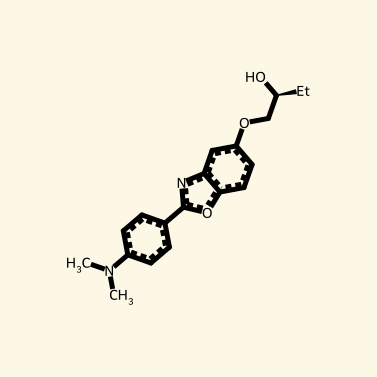 CC[C@H](O)COc1ccc2oc(-c3ccc(N(C)C)cc3)nc2c1